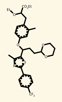 CCOC(=O)C(Cc1ccc(OC(CCC2OCCCO2)c2sc(-c3ccc(C(F)(F)F)cc3)nc2C)cc1C)OCC